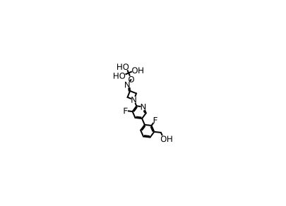 OCc1cccc(-c2cnc(N3CC(=NOC(O)(O)O)C3)c(F)c2)c1F